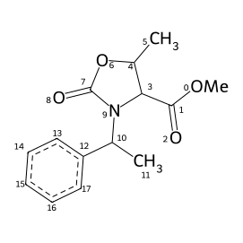 COC(=O)C1C(C)OC(=O)N1C(C)c1ccccc1